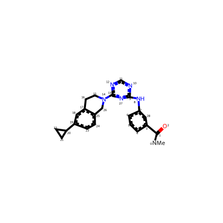 CNC(=O)c1cccc(Nc2ncnc(N3CCc4cc(C5CC5)ccc4C3)n2)c1